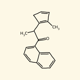 CC1=C(C(C)C(=O)c2cccc3ccccc23)CC=C1